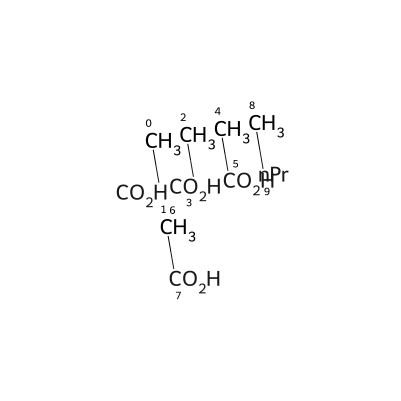 CC(=O)O.CC(=O)O.CC(=O)O.CC(=O)O.CCCC